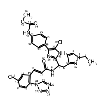 CCn1ccc(CC(NC(=O)C=Cc2cc(Cl)ccc2-n2cnnn2)c2nc(-c3ccc(NC(=O)OC)cc3)c(Cl)[nH]2)n1